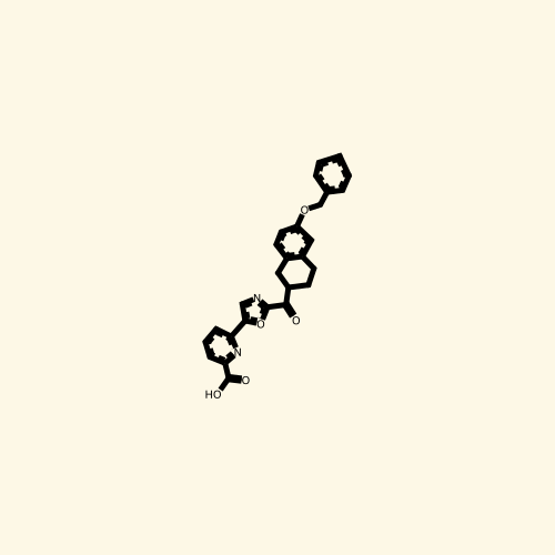 O=C(O)c1cccc(-c2cnc(C(=O)C3CCc4cc(OCc5ccccc5)ccc4C3)o2)n1